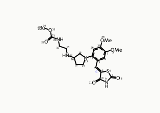 COc1cc(/C=C2\SC(=O)NC2=O)c(N2CCC(NCCNC(=O)OC(C)(C)C)C2)cc1OC